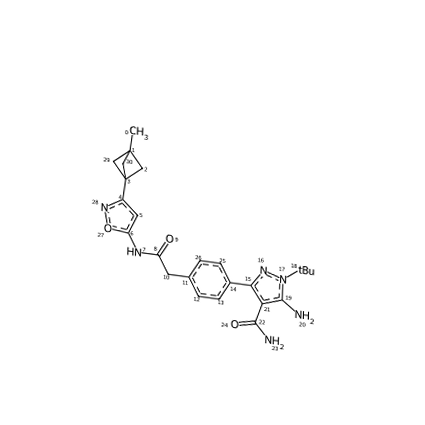 CC12CC(c3cc(NC(=O)Cc4ccc(-c5nn(C(C)(C)C)c(N)c5C(N)=O)cc4)on3)(C1)C2